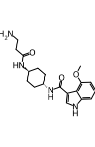 COc1cccc2[nH]cc(C(=O)N[C@H]3CC[C@H](NC(=O)CCN)CC3)c12